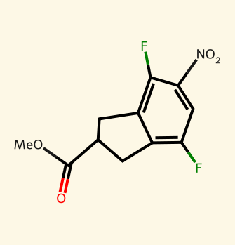 COC(=O)C1Cc2c(F)cc([N+](=O)[O-])c(F)c2C1